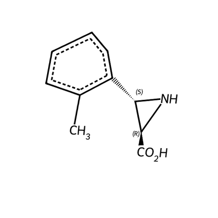 Cc1ccccc1[C@@H]1N[C@H]1C(=O)O